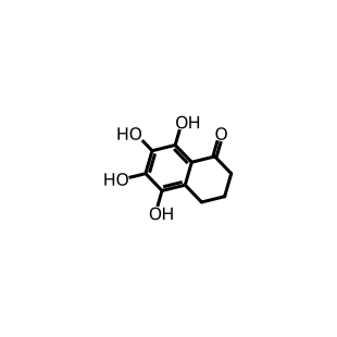 O=C1CCCc2c(O)c(O)c(O)c(O)c21